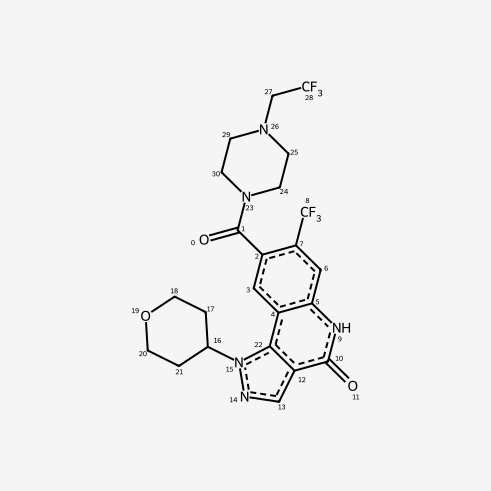 O=C(c1cc2c(cc1C(F)(F)F)[nH]c(=O)c1cnn(C3CCOCC3)c12)N1CCN(CC(F)(F)F)CC1